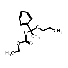 CCCOC(C)(OC(=O)OCC)c1ccccc1